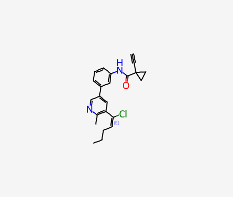 C#CC1(C(=O)Nc2cccc(-c3cnc(C)c(/C(Cl)=C\CCC)c3)c2)CC1